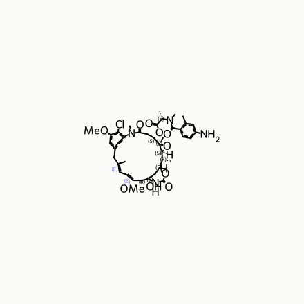 COc1cc2cc(c1Cl)N(C)C(=O)C[C@H](OC(=O)[C@H](C)N(C)C(=O)c1ccc(N)cc1C)[C@]1(C)O[C@H]1[C@H](C)[C@@H]1C[C@@](O)(NC(=O)O1)[C@H](OC)/C=C/C=C(\C)C2